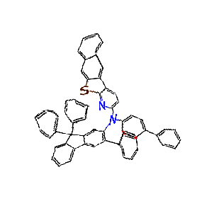 c1ccc(-c2ccc(N(c3ccc4c(n3)sc3cc5ccccc5cc34)c3cc4c(cc3-c3ccccc3)-c3ccccc3C4(c3ccccc3)c3ccccc3)cc2)cc1